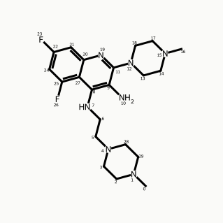 CN1CCN(CCNc2c(N)c(N3CCN(C)CC3)nc3cc(F)cc(F)c23)CC1